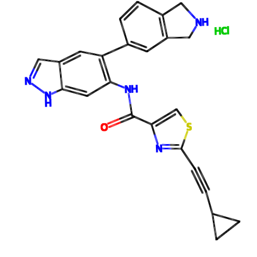 Cl.O=C(Nc1cc2[nH]ncc2cc1-c1ccc2c(c1)CNC2)c1csc(C#CC2CC2)n1